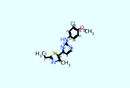 CCc1nc(C)c(-c2ccnc(Nc3ccc(OC)c(Cl)c3)n2)s1